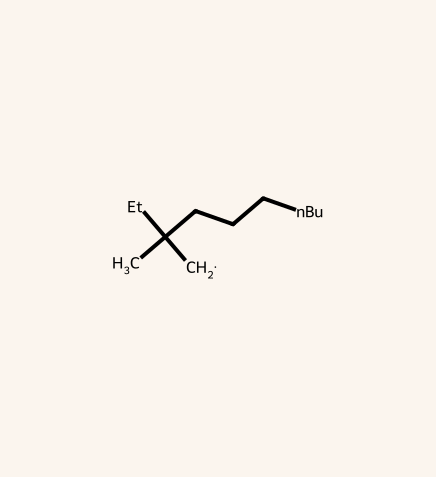 [CH2]C(C)(CC)CCCCCCC